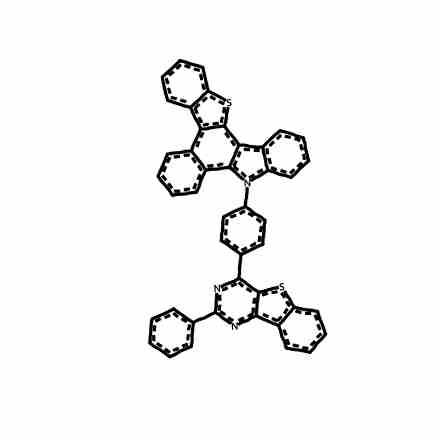 c1ccc(-c2nc(-c3ccc(-n4c5ccccc5c5c6sc7ccccc7c6c6ccccc6c54)cc3)c3sc4ccccc4c3n2)cc1